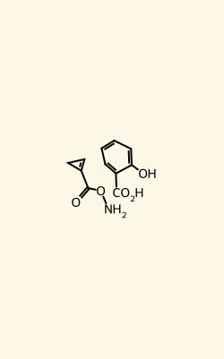 NOC(=O)C1=CC1.O=C(O)c1ccccc1O